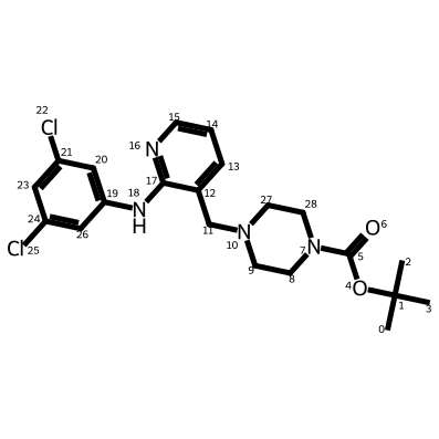 CC(C)(C)OC(=O)N1CCN(Cc2cccnc2Nc2cc(Cl)cc(Cl)c2)CC1